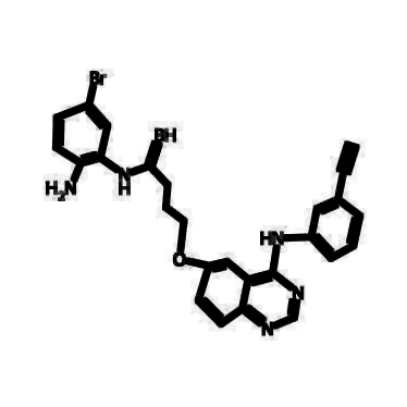 B=C(CCCOc1ccc2ncnc(Nc3cccc(C#C)c3)c2c1)Nc1cc(Br)ccc1N